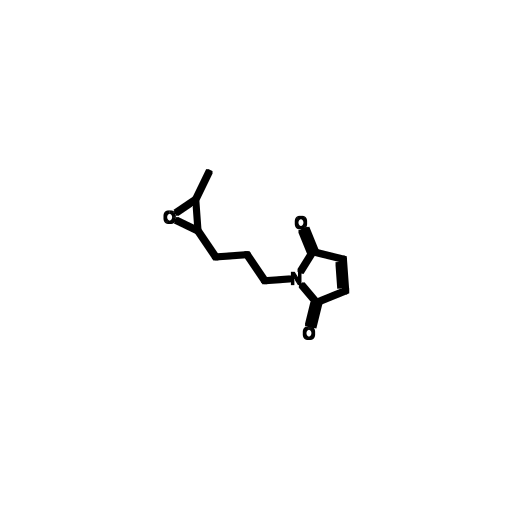 CC1OC1CCCN1C(=O)C=CC1=O